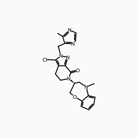 Cc1nccnc1Cn1nc2c(c1Cl)CCN([C@@H]1COc3ccccc3N(C)C1)C2=O